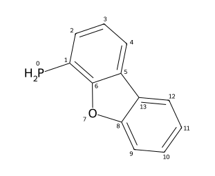 Pc1cccc2c1oc1ccccc12